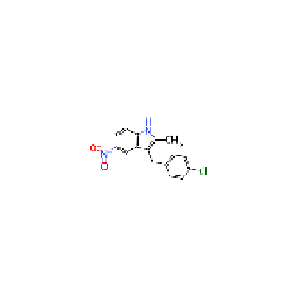 Cc1[nH]c2ccc([N+](=O)[O-])cc2c1Cc1ccc(Cl)cc1